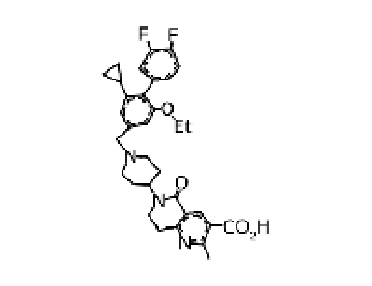 CCOc1cc(CN2CCC(N3CCc4nc(C)c(C(=O)O)cc4C3=O)CC2)cc(C2CC2)c1-c1ccc(F)c(F)c1